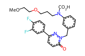 COCCOCCCN(C(=O)O)c1cccc(Cn2nc(-c3ccc(F)c(F)c3)ccc2=O)c1